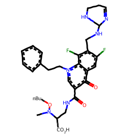 CCCCON(C)C(CNC(=O)c1cn(CCc2ccccc2)c2c(F)c(CNC3N=CCCN3)c(F)cc2c1=O)C(=O)O